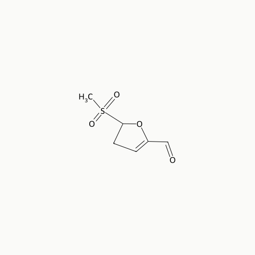 CS(=O)(=O)C1CC=C(C=O)O1